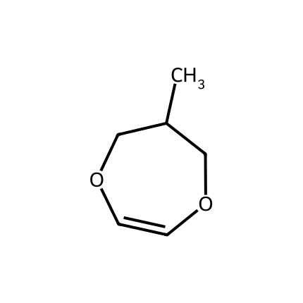 CC1COC=COC1